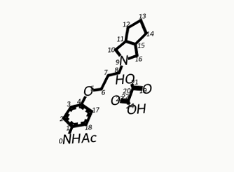 CC(=O)Nc1ccc(OCCCN2CC3CCCC3C2)cc1.O=C(O)C(=O)O